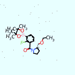 CCOC[C@@H]1CCCN1C(=O)c1cccc(B2OC(C)(C)C(C)(C)O2)c1F